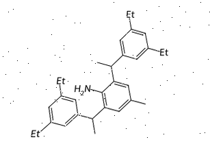 CCc1cc(CC)cc(C(C)c2cc(C)cc(C(C)c3cc(CC)cc(CC)c3)c2N)c1